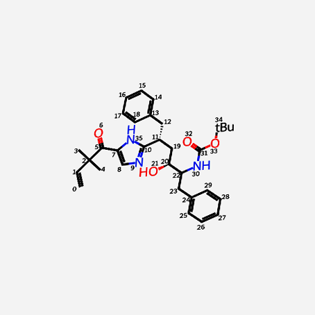 C=CC(C)(C)C(=O)c1cnc([C@H](Cc2ccccc2)C[C@H](O)C(Cc2ccccc2)NC(=O)OC(C)(C)C)[nH]1